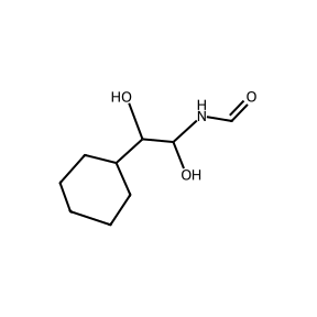 O=CNC(O)C(O)C1CCCCC1